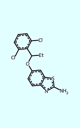 CCC(Oc1ccc2nc(N)sc2c1)c1c(Cl)cccc1Cl